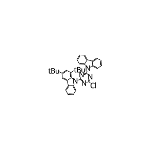 CC(C)(C)c1cc(C(C)(C)C)c2c(c1)c1ccccc1n2-c1nc(Cl)nc(-n2c3ccccc3c3ccccc32)n1